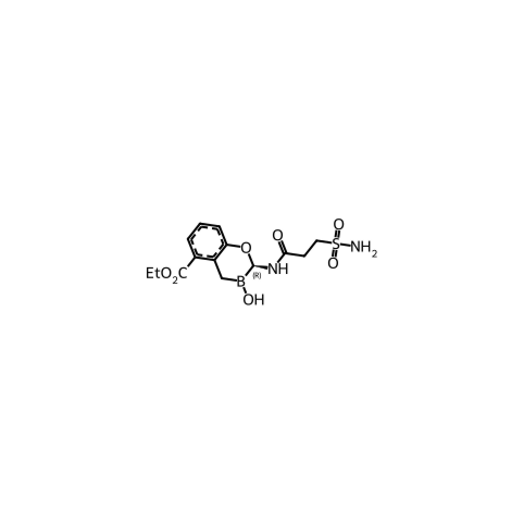 CCOC(=O)c1cccc2c1CB(O)[C@H](NC(=O)CCS(N)(=O)=O)O2